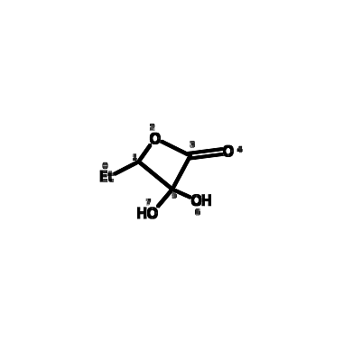 CCC1OC(=O)C1(O)O